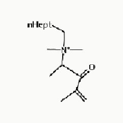 C=C(C)C(=O)C(C)[N+](C)(C)CCCCCCCC